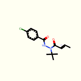 C/C=C/C(=O)N(NC(=O)c1ccc(Cl)cc1)C(C)(C)C